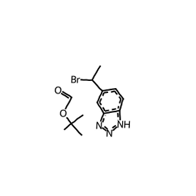 CC(Br)c1ccc2[nH]nnc2c1.CC(C)(C)OC=O